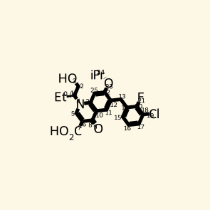 CC[C@@H](CO)n1cc(C(=O)O)c(=O)c2cc(Cc3cccc(Cl)c3F)c(OC(C)C)cc21